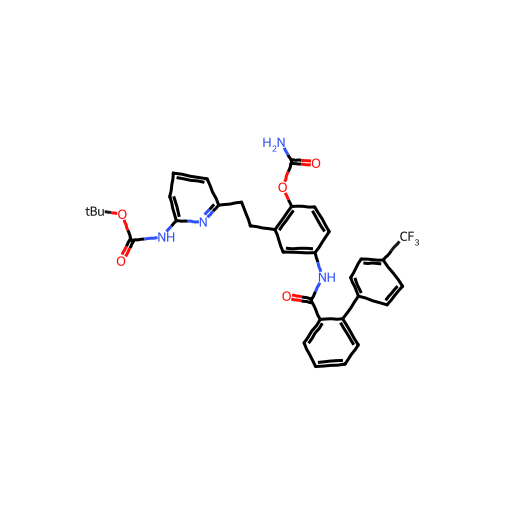 CC(C)(C)OC(=O)Nc1cccc(CCc2cc(NC(=O)c3ccccc3-c3ccc(C(F)(F)F)cc3)ccc2OC(N)=O)n1